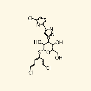 OCC1O[C@H](SC(/C=C/Cl)=C/C=C/Cl)C(O)C(n2cc(-c3nc(Cl)cs3)nn2)[C@H]1O